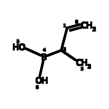 C=CC(C)B(O)O